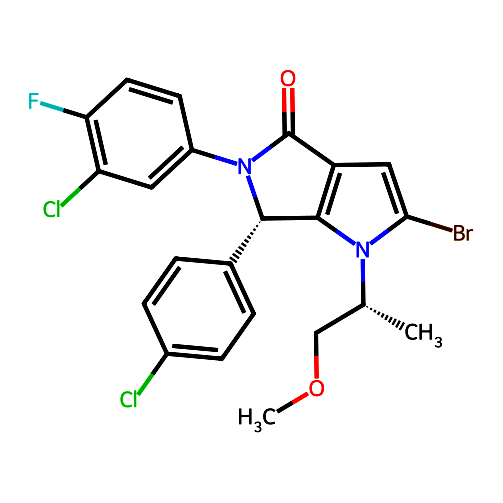 COC[C@@H](C)n1c(Br)cc2c1[C@H](c1ccc(Cl)cc1)N(c1ccc(F)c(Cl)c1)C2=O